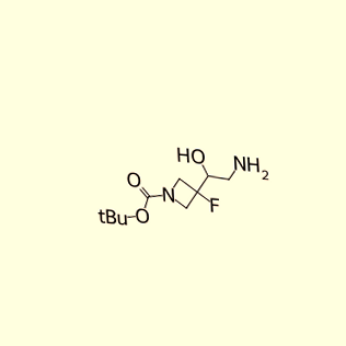 CC(C)(C)OC(=O)N1CC(F)(C(O)CN)C1